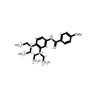 COc1ccc(C(=O)Nc2ccc(N(CC(=O)O)CC(=O)O)c(N(CC(=O)O)CC(=O)O)c2)cc1